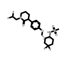 CS(=O)(=O)N[C@H]1CCC(F)(F)C[C@@H]1COc1ccc(C2CCCN(CC(F)F)C2=O)cc1